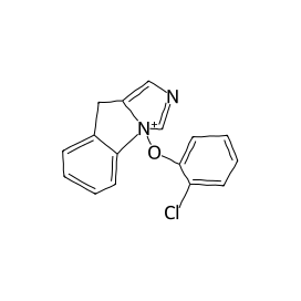 Clc1ccccc1O[N+]12C=NC=C1Cc1ccccc12